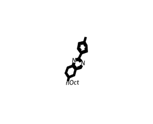 CCCCCCCCC1CCc2nc(-c3ccc(C)cc3)ncc2C1